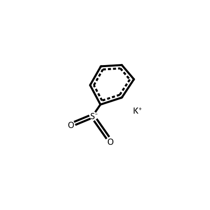 O=[S-](=O)c1ccccc1.[K+]